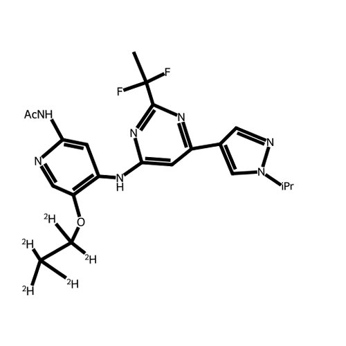 [2H]C([2H])([2H])C([2H])([2H])Oc1cnc(NC(C)=O)cc1Nc1cc(-c2cnn(C(C)C)c2)nc(C(C)(F)F)n1